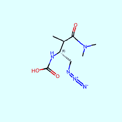 CC(C(=O)N(C)C)[C@H](CN=[N+]=[N-])NC(=O)O